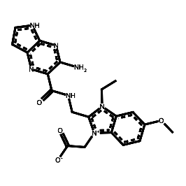 CCn1c(CNC(=O)c2nc3cc[nH]c3nc2N)[n+](CC(=O)[O-])c2ccc(OC)cc21